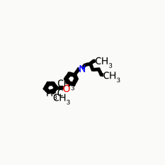 CCCCC(CC)CN=Cc1ccc(OC(C)(C)c2ccccc2C)cc1